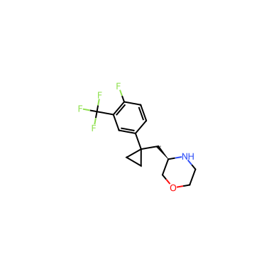 Fc1ccc(C2([CH][C@@H]3COCCN3)CC2)cc1C(F)(F)F